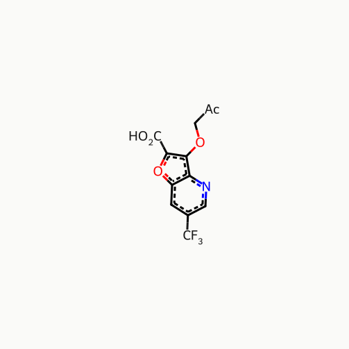 CC(=O)COc1c(C(=O)O)oc2cc(C(F)(F)F)cnc12